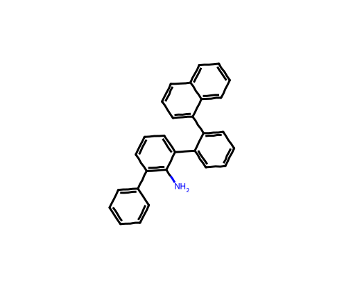 Nc1c(-c2ccccc2)cccc1-c1ccccc1-c1cccc2ccccc12